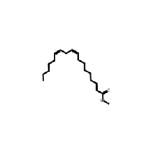 CCCCC/C=C\C/C=C\CCCCCCCC(=O)NC